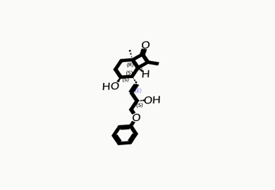 CC1C(=O)[C@]2(C)CC[C@H](O)[C@@H](/C=C/[C@H](O)COc3ccccc3)[C@H]12